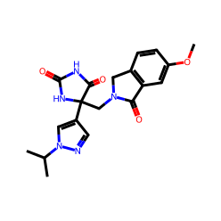 COc1ccc2c(c1)C(=O)N(CC1(c3cnn(C(C)C)c3)NC(=O)NC1=O)C2